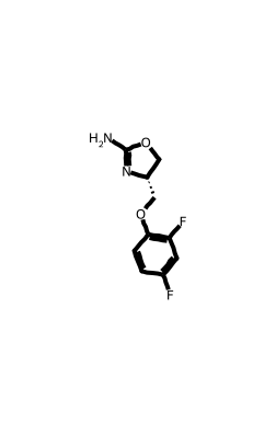 NC1=N[C@@H](COc2ccc(F)cc2F)CO1